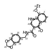 CCOc1cccc2c(=O)c(C(=O)NCc3ccc4c(c3)OCO4)c[nH]c12